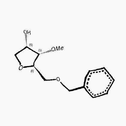 CO[C@H]1[C@@H](O)CO[C@@H]1COCc1ccccc1